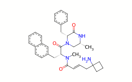 C[C@@H]1CN(C(=O)[C@@H](Cc2ccc3ccccc3c2)N(C)C(=O)/C=C/CC2(N)CCC2)[C@H](Cc2ccccc2)C(=O)N1